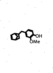 COc1cc(CC2CC3C=CC2C3)ccc1O